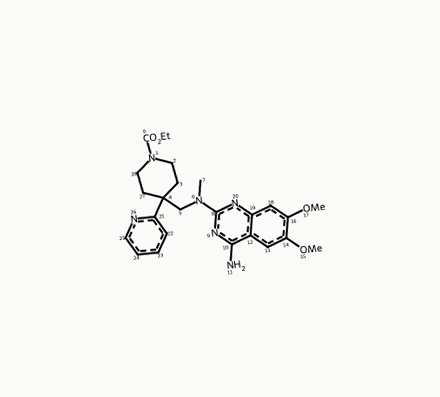 CCOC(=O)N1CCC(CN(C)c2nc(N)c3cc(OC)c(OC)cc3n2)(c2ccccn2)CC1